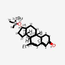 CCC1=CC2=CC(=O)CC[C@]2(C)[C@H]2CC[C@]3(C)[C@@H](O[Si](C)(C)C(C)(C)C)CC[C@H]3[C@H]12